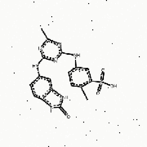 Cc1nc(Nc2ccc(C)c(S(=O)(=O)O)c2)nc(Nc2ccc3[nH]c(=O)[nH]c3c2)n1